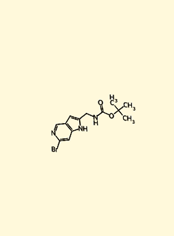 CC(C)(C)OC(=O)NCc1cc2cnc(Br)cc2[nH]1